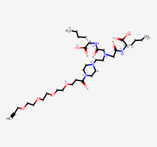 C#CCOCCOCCOCCOCCC(=O)N1CCN(CCN(CC(=O)N[C@@H](CCCC)C(=O)O)CC(=O)N[C@@H](CCCC)C(=O)O)CC1